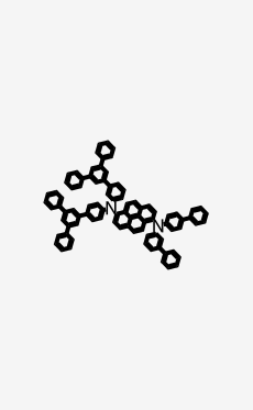 c1ccc(-c2ccc(N(c3cccc(-c4ccccc4)c3)c3ccc4ccc5c(N(c6ccc(-c7cc(-c8ccccc8)cc(-c8ccccc8)c7)cc6)c6cccc(-c7cc(-c8ccccc8)cc(-c8ccccc8)c7)c6)ccc6ccc3c4c65)cc2)cc1